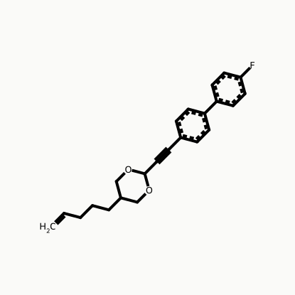 C=CCCCC1COC(C#Cc2ccc(-c3ccc(F)cc3)cc2)OC1